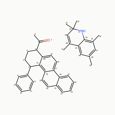 CC(=O)C1CCC(c2ccccc2)c2c1ccc1c2ccc2ccccc21.CC1=CC(C)(C)Nc2c(C)cc(C)cc21